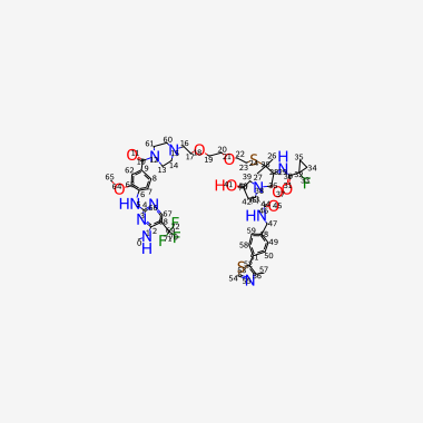 CNc1nc(Nc2ccc(C(=O)N3CCN(CCOCCOCCSC(C)(C)C(NC(=O)C4(F)CC4)C(=O)N4C[C@H](O)C[C@H]4C(=O)NCc4ccc(-c5scnc5C)cc4)CC3)cc2OC)ncc1C(F)(F)F